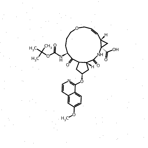 COc1ccc2c(O[C@H]3CC4C(=O)[C@@H](NC(=O)OC(C)(C)C)CCCOC/C=C\[C@@H]5C[C@@]5(C(=O)O)NC(=O)[C@@H]4C3)nccc2c1